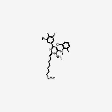 CNCCCCCC/C=C1/N=C(c2cc(F)c(C)c(F)c2)C=C(N(C)c2c(C)cccc2Cl)N1N